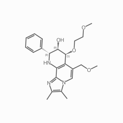 COCCO[C@H]1c2c(COC)cn3c(C)c(C)nc3c2N[C@H](c2ccccc2)[C@H]1O